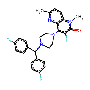 Cc1ccc2c(n1)c(N1CCN(C(c3ccc(F)cc3)c3ccc(F)cc3)CC1)c(F)c(=O)n2C